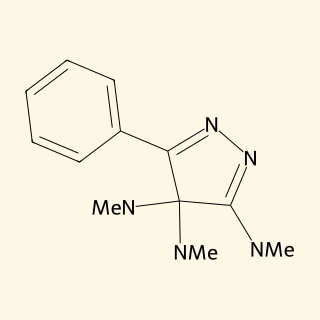 CNC1=NN=C(c2ccccc2)C1(NC)NC